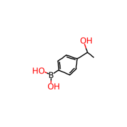 CC(O)c1ccc(B(O)O)cc1